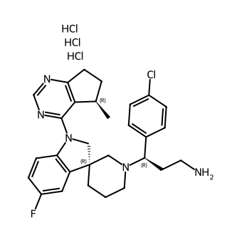 C[C@@H]1CCc2ncnc(N3C[C@]4(CCCN([C@H](CCN)c5ccc(Cl)cc5)C4)c4cc(F)ccc43)c21.Cl.Cl.Cl